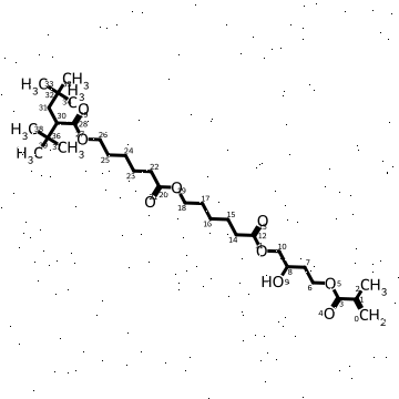 C=C(C)C(=O)OCCC(O)COC(=O)CCCCCOC(=O)CCCCCOC(=O)C(CC(C)(C)C)C(C)(C)C